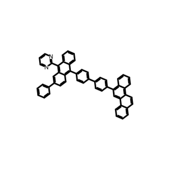 c1ccc(-c2ccc3c(-c4ccc(-c5ccc(-c6cc7c8ccccc8ccc7c7ccccc67)cc5)cc4)c4ccccc4c(-c4ncccn4)c3c2)cc1